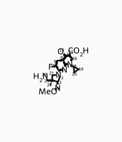 CO/N=C1/CN(c2nc3c(cc2F)c(=O)c(C(=O)O)cn3C2CC2)C[C@@]1(C)CN